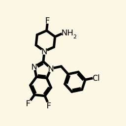 NC1CN(c2nc3cc(F)c(F)cc3n2Cc2cccc(Cl)c2)CCC1F